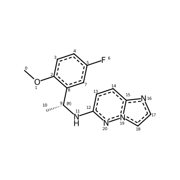 COc1ccc(F)cc1[C@@H](C)Nc1ccc2nccn2n1